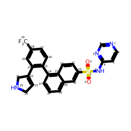 O=S(=O)(Nc1ccncn1)c1ccc2c(-c3ccc(C(F)(F)F)cc3C3=CCNC3)cccc2c1